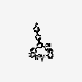 CC(C)c1ccc(-c2ccc(-c3cc(-c4ccc5c(c4)[C@H](N)CO5)cc([C@H](O)CN4C=CC5C=CC=C(C(=O)O)C54)c3)cc2)cc1